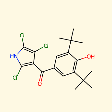 CC(C)(C)c1cc(C(=O)c2c(Cl)[nH]c(Cl)c2Cl)cc(C(C)(C)C)c1O